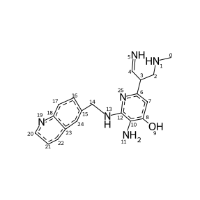 CNCC(C=N)c1cc(O)c(N)c(NCc2ccc3ncccc3c2)n1